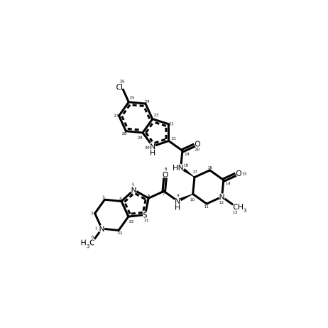 CN1CCc2nc(C(=O)N[C@@H]3CN(C)C(=O)C[C@@H]3NC(=O)c3cc4cc(Cl)ccc4[nH]3)sc2C1